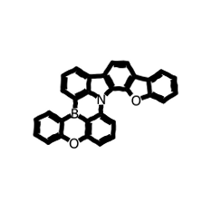 c1ccc2c(c1)Oc1cccc3c1B2c1cccc2c4ccc5c6ccccc6oc5c4n-3c12